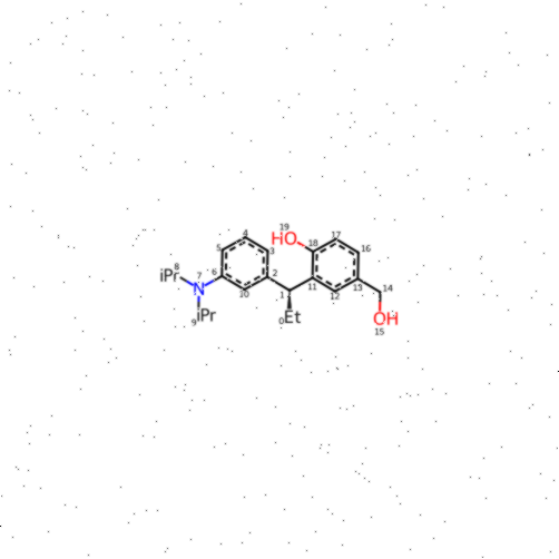 CC[C@@H](c1cccc(N(C(C)C)C(C)C)c1)c1cc(CO)ccc1O